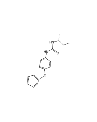 [CH2]CC(C)NC(=O)Nc1ccc(Oc2ccccc2)cc1